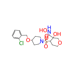 O=C(NO)C1(O)COCCC1S(=O)(=O)N1CCC(OCc2ccccc2Cl)CC1